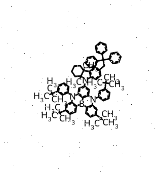 CC(C)(C)c1cccc(N2c3cc(C(C)(C)C)ccc3B3c4ccc(C(C)(C)C)cc4N(c4cccc(C(C)(C)C)c4)c4cc(N5c6ccc(CC(c7ccccc7)(c7ccccc7)c7ccccc7)cc6C6(C)CCCCC56C)cc2c43)c1